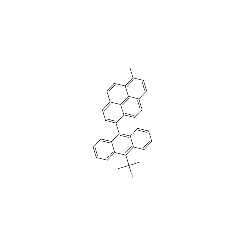 Cc1ccc2ccc3c(-c4c5ccccc5c(C(C)(C)I)c5ccccc45)ccc4ccc1c2c43